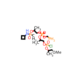 COCC(C)OP(=O)(Cl)OCC(C)OP(=O)(OCP)OCC(C)OP(C)(=O)NC1CCC1